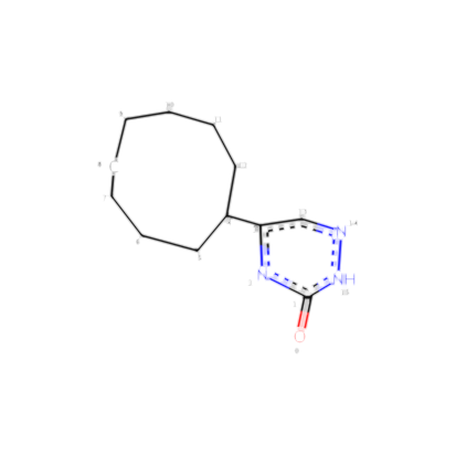 O=c1nc(C2CCCCCCCC2)cn[nH]1